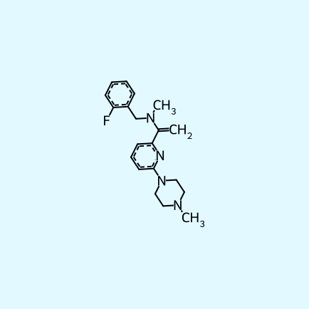 C=C(c1cccc(N2CCN(C)CC2)n1)N(C)Cc1ccccc1F